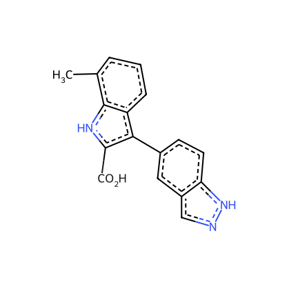 Cc1cccc2c(-c3ccc4[nH]ncc4c3)c(C(=O)O)[nH]c12